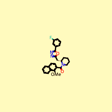 COc1c(C(=O)N2CCCC[C@H]2Cc2nnc(-c3cccc(F)c3)o2)ccc2ccccc12